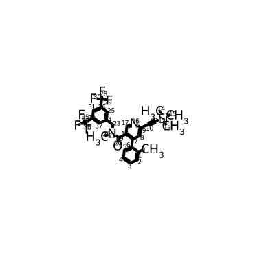 Cc1ccccc1-c1cc(C#C[Si](C)(C)C)ncc1C(=O)N(C)Cc1cc(C(F)(F)F)cc(C(F)(F)F)c1